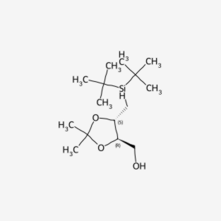 CC1(C)O[C@H](CO)[C@@H](C[SiH](C(C)(C)C)C(C)(C)C)O1